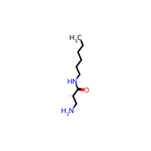 CCCCCCNC(=O)[CH]CN